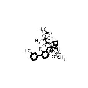 CC(=O)OC(C)(C)C(=O)N1C2CC(C2)[C@H](NS(C)(=O)=O)[C@@H]1Cc1cccc(-c2cccc(C)c2)c1F